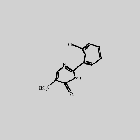 CCOC(=O)c1cnc(-c2ccccc2Cl)[nH]c1=O